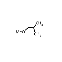 [CH]OCC(C)C